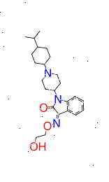 CC(C)C1CCC(N2CCC(N3C(=O)C(=NOCCO)c4ccccc43)CC2)CC1